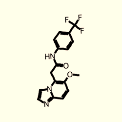 COc1ccc2nccn2c1CC(=O)Nc1ccc(C(F)(F)F)cc1